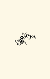 CC(=O)Oc1c(OC(C)C)c(=O)oc2c(OC/C=C(\C)CCC=C(C)C)cccc12